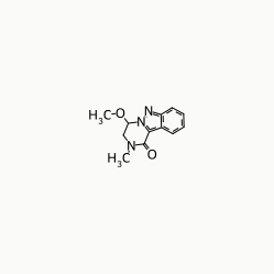 COC1CN(C)C(=O)c2c3ccccc3nn21